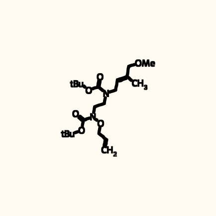 C=CCON(CCN(C/C=C(\C)COC)C(=O)OC(C)(C)C)C(=O)OC(C)(C)C